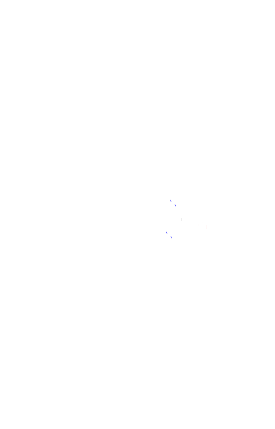 CC(C)CCC(C)C1NC(=O)NC1C(C)C